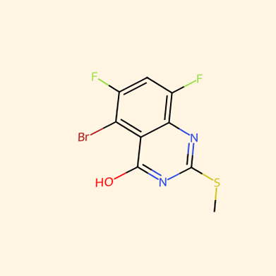 CSc1nc(O)c2c(Br)c(F)cc(F)c2n1